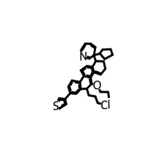 CCCOC1=c2c(ccc3c2=CCCC3C2(C3CCCC3)C=CC=CN=C2)-c2ccc(-c3ccsc3)cc2C1CCCCl